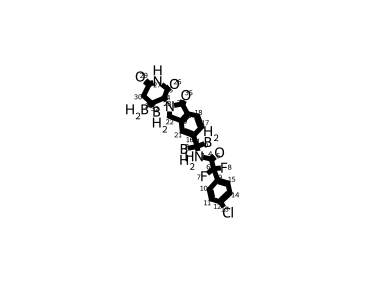 BC(B)(NC(=O)C(F)(F)c1ccc(Cl)cc1)c1ccc2c(c1)CN(C1C(=O)NC(=O)CC1(B)B)C2=O